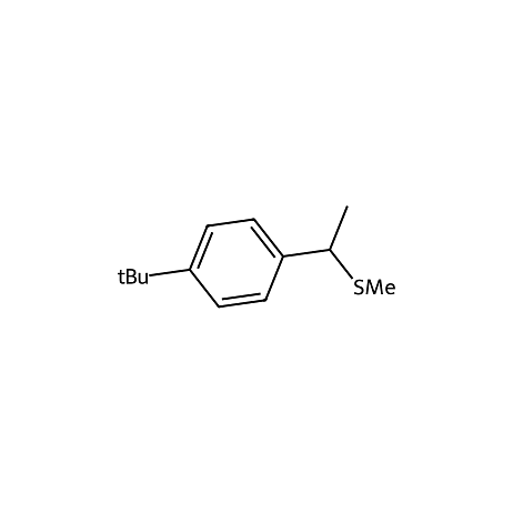 CSC(C)c1ccc(C(C)(C)C)cc1